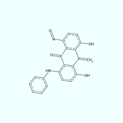 C=C1c2c(O)ccc(N=O)c2C(=O)c2c(Nc3ccccc3)ccc(O)c21